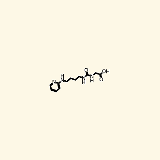 O=C(O)CNC(=O)NCCCCNc1ccccn1